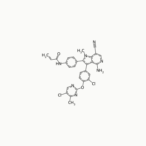 C=CC(=O)Nc1ccc(-c2c(-c3ccc(Oc4ncc(Cl)c(C)n4)c(Cl)c3)c3c(N)ncc(C#N)c3n2C)cc1